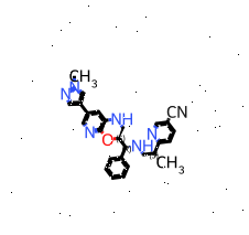 C[C@@H](CN[C@H](c1ccccc1)[C@@H]1CNc2cc(-c3cnn(C)c3)cnc2O1)c1ccc(C#N)cn1